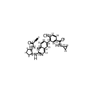 C#CC(=O)N[C@H]1CCC[C@H]1Nc1ncc2cc(-c3cc(C(=O)NC4CC4)ccc3Cl)ccc2n1